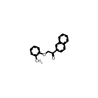 Cc1[c]cccc1OCC(=O)c1ccc2ccccc2c1